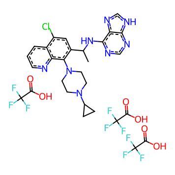 CC(Nc1ncnc2[nH]cnc12)c1cc(Cl)c2cccnc2c1N1CCN(C2CC2)CC1.O=C(O)C(F)(F)F.O=C(O)C(F)(F)F.O=C(O)C(F)(F)F